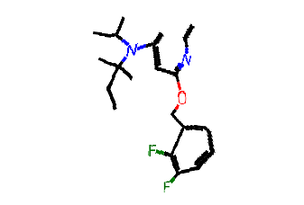 CC/N=C(\C=C(/C)N(C(C)C)C(C)(C)CC)OCc1cccc(F)c1F